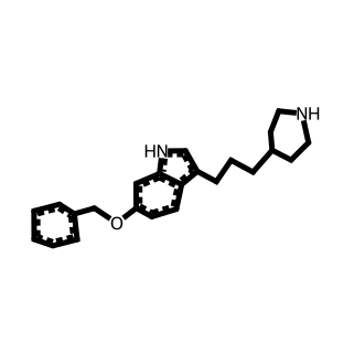 c1ccc(COc2ccc3c(CCCC4CCNCC4)c[nH]c3c2)cc1